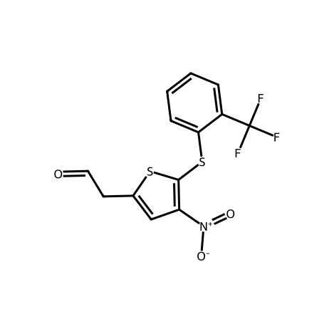 O=CCc1cc([N+](=O)[O-])c(Sc2ccccc2C(F)(F)F)s1